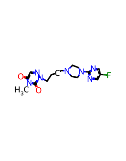 Cn1c(=O)cnn(CCCCN2CCN(c3ncc(F)cn3)CC2)c1=O